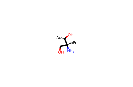 CCC[C@@](N)(CO)[C@@H](O)C(C)=O